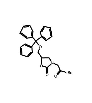 CC(C)(C)C(=O)CN1CC(COC(c2ccccc2)(c2ccccc2)c2ccccc2)OC1=O